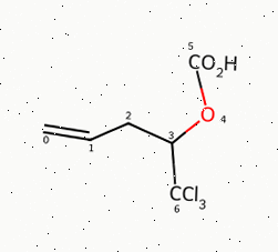 C=CCC(OC(=O)O)C(Cl)(Cl)Cl